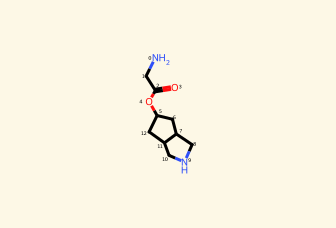 NCC(=O)OC1CC2CNCC2C1